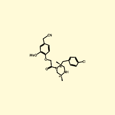 COc1cc(CC#N)ccc1OCC(=O)N1C[C@H](C)NC[C@@]1(C)Cc1ccc(Cl)cc1